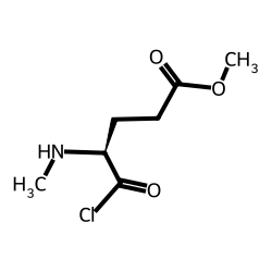 CN[C@@H](CCC(=O)OC)C(=O)Cl